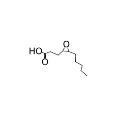 CCCCCC1OC1CCC(=O)O